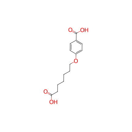 O=C(O)CCCCCCOc1ccc(C(=O)O)cc1